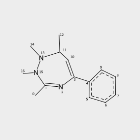 CC1=NC(c2ccccc2)=CC(C)N(C)N1C